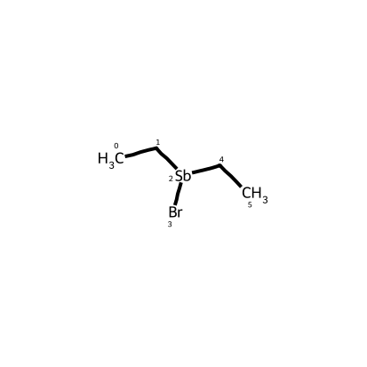 C[CH2][Sb]([Br])[CH2]C